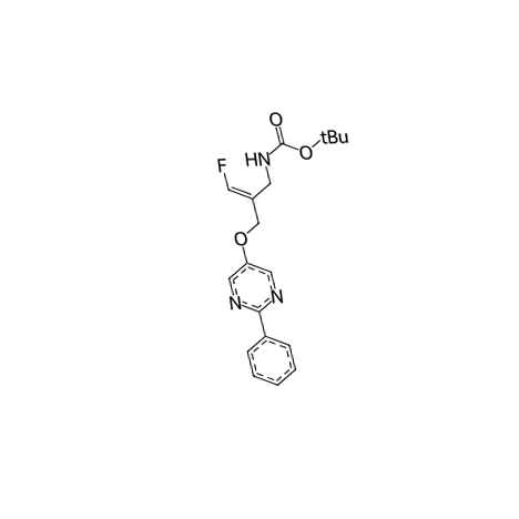 CC(C)(C)OC(=O)NCC(=CF)COc1cnc(-c2ccccc2)nc1